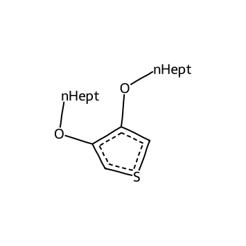 CCCCCCCOc1cscc1OCCCCCCC